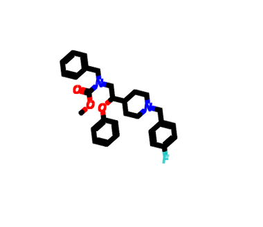 COC(=O)N(Cc1ccccc1)CC(Oc1ccccc1)C1CCN(Cc2ccc(F)cc2)CC1